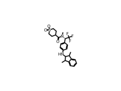 CC1c2ccccc2C(C)C1Nc1ccc([C@H](N(C)C(=O)C2CCS(=O)(=O)CC2)C(F)(F)F)cc1